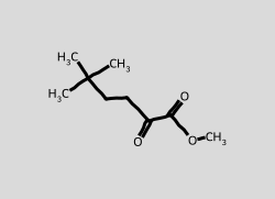 COC(=O)C(=O)CCC(C)(C)C